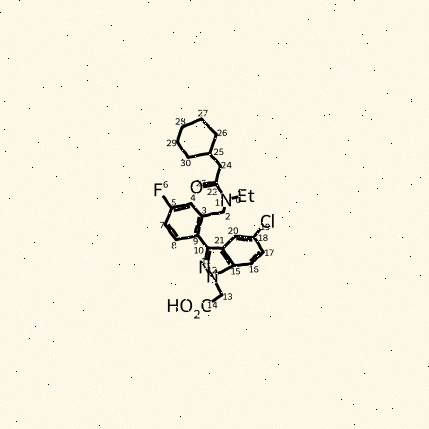 CCN(Cc1cc(F)ccc1-c1nn(CC(=O)O)c2ccc(Cl)cc12)C(=O)CC1CCCCC1